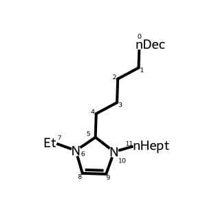 CCCCCCCCCCCCCCC1N(CC)C=CN1CCCCCCC